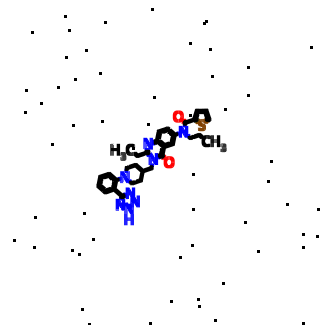 CCCN(C(=O)c1cccs1)c1ccc2nc(CC)n(CC3CCN(c4ccccc4-c4nn[nH]n4)CC3)c(=O)c2c1